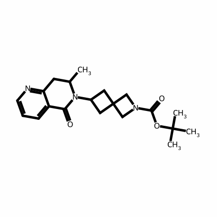 CC1Cc2ncccc2C(=O)N1C1CC2(C1)CN(C(=O)OC(C)(C)C)C2